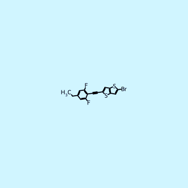 CCc1cc(F)c(C#Cc2cc3sc(Br)cc3s2)c(F)c1